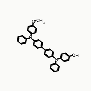 COc1ccc(N(c2ccccc2)c2ccc(-c3ccc(N(c4ccccc4)c4ccc(O)cc4)cc3)cc2)cc1